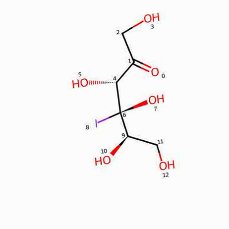 O=C(CO)[C@@H](O)[C@@](O)(I)[C@H](O)CO